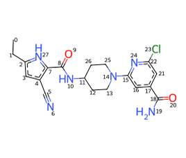 CCc1cc(C#N)c(C(=O)NC2CCN(c3cc(C(N)=O)cc(Cl)n3)CC2)[nH]1